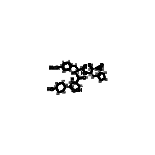 COc1ccc(C[C@H](NC(=O)[C@@H](CO)NC(=O)[C@H]2CC[C@H](O)CC2)C(=O)N[C@@H](CC2=CCCC2)C(=O)[C@H]2CO2)cc1